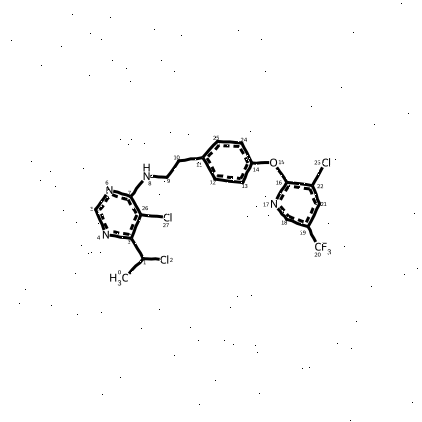 CC(Cl)c1ncnc(NCCc2ccc(Oc3ncc(C(F)(F)F)cc3Cl)cc2)c1Cl